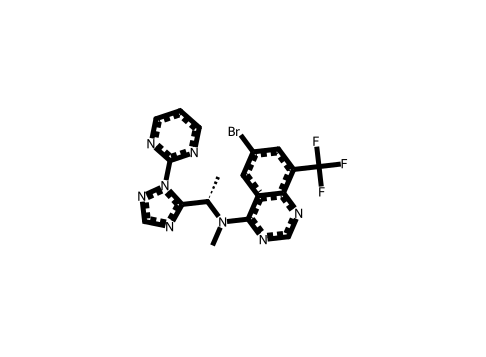 C[C@@H](c1ncnn1-c1ncccn1)N(C)c1ncnc2c(C(F)(F)F)cc(Br)cc12